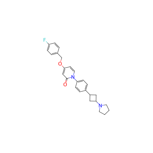 O=c1cc(OCc2ccc(F)cc2)ccn1-c1ccc(C2CC(N3CCCC3)C2)cc1